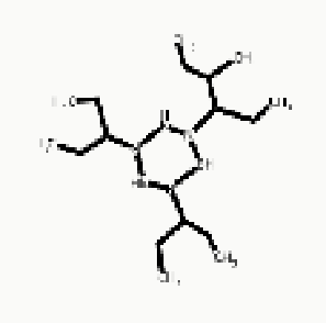 CCC(C)C(CC)N1BN(C(CC)CC)BN(C(CC)CC)B1